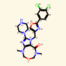 CN1COCN(C)c2nc(N3CCNCC3)n(Cc3coc(-c4ccc(Cl)c(Cl)c4)n3)c2C1=O